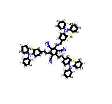 N#Cc1c(/C=C/c2ccc3c(c2)Sc2ccccc2N3c2ccccc2)c(C#N)c(/C=C/c2ccc3c(c2)Sc2ccccc2N3c2ccccc2)c(C#N)c1/C=C/c1ccc2c(c1)Sc1ccccc1N2c1ccccc1